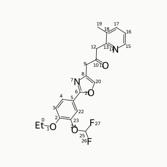 CCOc1ccc(-c2nc(CC(=O)Cc3ncccc3C)co2)cc1OC(F)F